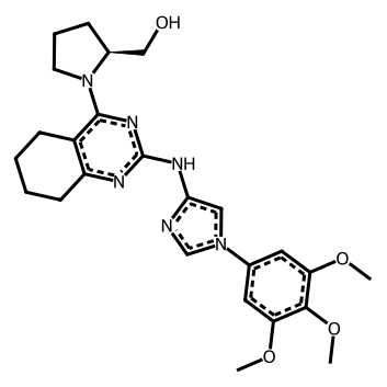 COc1cc(-n2cnc(Nc3nc4c(c(N5CCC[C@H]5CO)n3)CCCC4)c2)cc(OC)c1OC